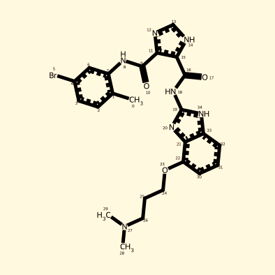 Cc1ccc(Br)cc1NC(=O)c1nc[nH]c1C(=O)Nc1nc2c(OCCCN(C)C)cccc2[nH]1